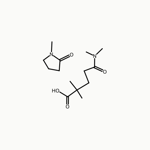 CN(C)C(=O)CCC(C)(C)C(=O)O.CN1CCCC1=O